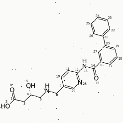 O=C(O)C[C@H](O)CNCc1ccc(NC(=O)c2cccc(-c3ccccc3)c2)nc1